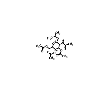 CC(=O)NC1C(OC(C)=O)[C@H](OC(C)=O)C(COC(C)=O)O[C@H]1OC(C)C